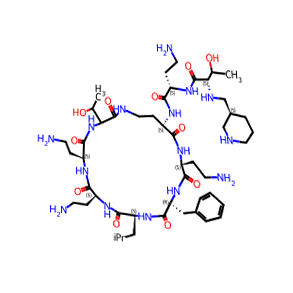 CC(C)C[C@@H]1NC(=O)[C@@H](Cc2ccccc2)NC(=O)[C@H](CCN)NC(=O)[C@@H](NC(=O)[C@H](CCN)NC(=O)[C@@H](NC[C@H]2CCCNC2)C(C)O)CCNC(=O)C(C(C)O)NC(=O)[C@H](CCN)NC(=O)[C@H](CCN)NC1=O